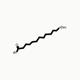 CCCCCCCCCCCCCCCCCCCCCC(=O)C(C)C